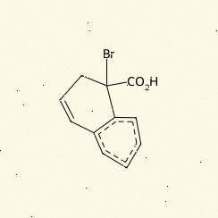 O=C(O)C1(Br)CC=Cc2ccccc21